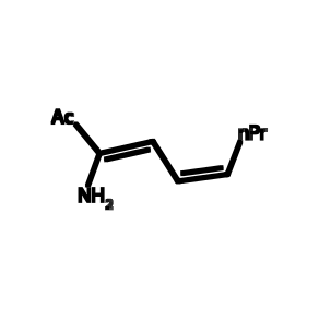 CCC/C=C\C=C(/N)C(C)=O